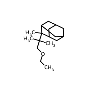 CCOCC(C)(C)C1(C)C2CC3CC(C2)CC1C3